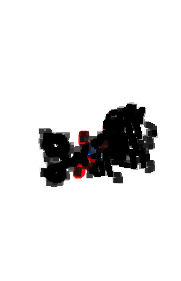 CCOC(=O)/C(=C\C=C(c1ccccc1)c1ccccc1)C(=O)NCCC[Si](C)(O[Si](C)(C)C)O[Si](C)(C)C